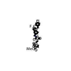 COC(=O)N1CCN(CCN2C(=O)S/C(=C\c3ccc4c(cnn4Cc4ccc(Cl)cc4C(F)(F)F)c3)C2=O)S1(=O)=O